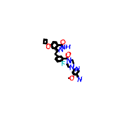 COc1cc(N2CCN(C(=O)c3cc(Cc4n[nH]c(=O)c5ccc(OC6CCC6)cc45)ccc3F)CC2)ncc1C#N